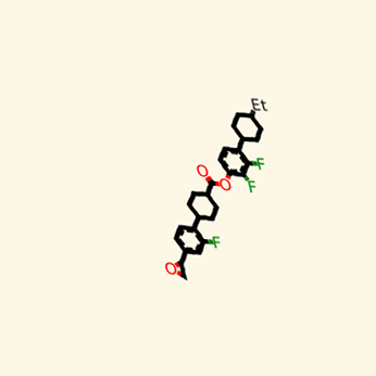 CCC1CCC(c2ccc(OC(=O)C3CCC(c4ccc(C5CO5)cc4F)CC3)c(F)c2F)CC1